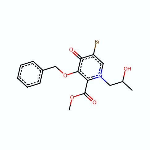 COC(=O)c1c(OCc2ccccc2)c(=O)c(Br)cn1CC(C)O